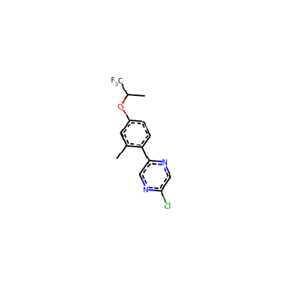 Cc1cc(OC(C)C(F)(F)F)ccc1-c1cnc(Cl)cn1